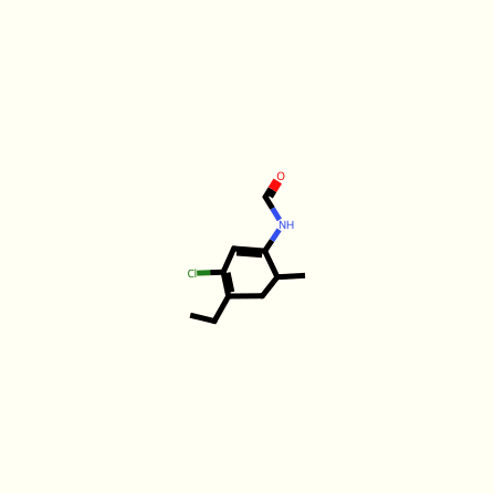 CCC1=C(Cl)C=C(NC=O)C(C)C1